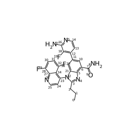 CCCc1nc2c(C(N)=O)cc(-c3ccnc(N)c3F)cc2n1-c1ccnc2c(F)ccc(F)c12